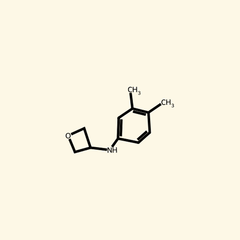 Cc1ccc(NC2COC2)cc1C